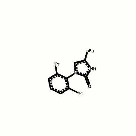 CCCCc1cn(-c2c(C(C)C)cccc2C(C)C)c(=O)[nH]1